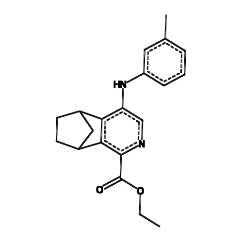 CCOC(=O)c1ncc(Nc2cccc(C)c2)c2c1C1CCC2C1